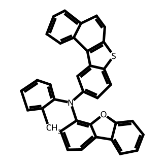 Cc1ccccc1N(c1ccc2sc3ccc4ccccc4c3c2c1)c1cccc2c1oc1ccccc12